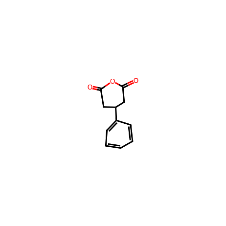 O=C1CC(c2ccccc2)CC(=O)O1